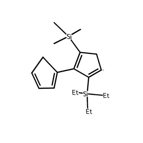 CC[Si](CC)(CC)C1=[C]CC([Si](C)(C)C)=C1C1=CC=CC1